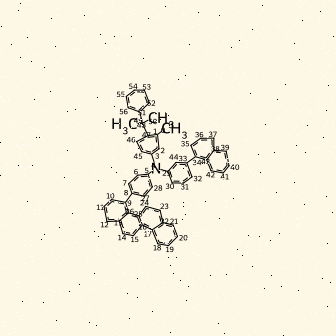 Cc1cc(N(c2ccc(-c3cccc4ccc5c6ccccc6ccc5c34)cc2)c2cccc(-c3cccc4ccccc34)c2)ccc1C(C)(C)c1ccccc1